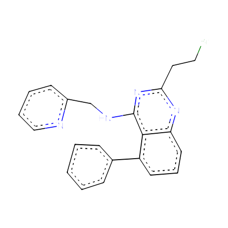 BrC[CH]c1nc(NCc2ccccn2)c2c(-c3ccccc3)cccc2n1